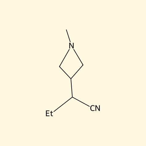 CCC(C#N)C1CN(C)C1